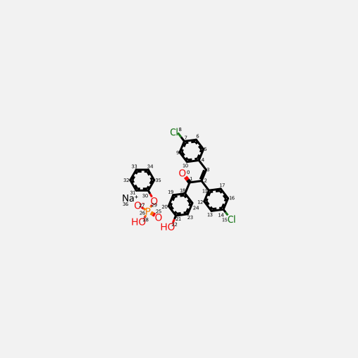 O=C(C(=Cc1ccc(Cl)cc1)c1ccc(Cl)cc1)c1ccc(O)cc1.O=P([O-])(O)Oc1ccccc1.[Na+]